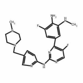 CNc1cc(-c2nc(Nc3ccc(CN4CCN(C)CC4)cn3)ncc2F)cc(F)c1N